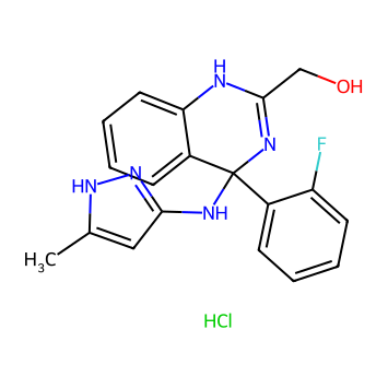 Cc1cc(NC2(c3ccccc3F)N=C(CO)Nc3ccccc32)n[nH]1.Cl